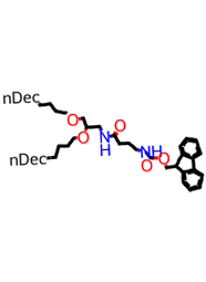 CCCCCCCCCCCCCCOCC(CNC(=O)CCCNC(=O)OCC1c2ccccc2-c2ccccc21)OCCCCCCCCCCCCCC